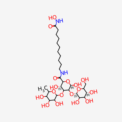 CC1OC(OC2C(O[C@@H]3OC(CO)[C@H](O)C(O)C3O)[C@H](O)OC(C(=O)NCCCCCCCCCCC(=O)NO)[C@H]2O)C(O)C(O)C1O